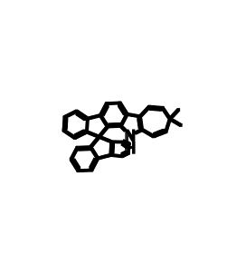 CC1(C)C=Cc2[nH]c3c4c(ccc3c2C=C1)-c1ccccc1C41c2c#cccc2-c2ccccc21